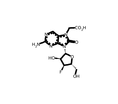 Nc1ncc2c(n1)n([C@@H]1O[C@H](CO)[C@@H](F)[C@H]1O)c(=O)n2CC(=O)O